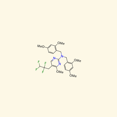 COc1ccc(CN(Cc2ccc(OC)cc2OC)c2ncc(CC(F)(F)C(F)F)c(OC)n2)c(OC)c1